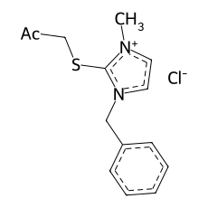 CC(=O)CSc1n(Cc2ccccc2)cc[n+]1C.[Cl-]